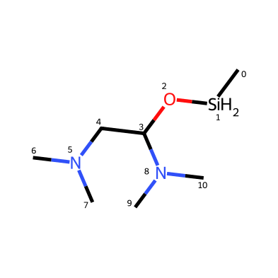 C[SiH2]OC(CN(C)C)N(C)C